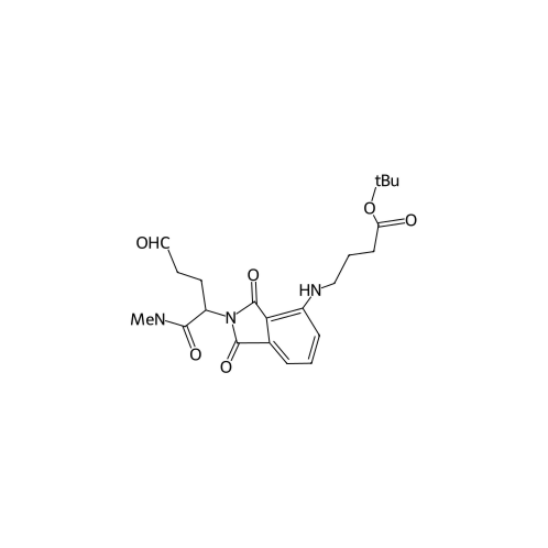 CNC(=O)C(CCC=O)N1C(=O)c2cccc(NCCCC(=O)OC(C)(C)C)c2C1=O